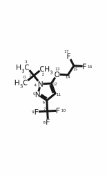 CC(C)(C)n1nc(C(F)(F)F)cc1OCC(F)F